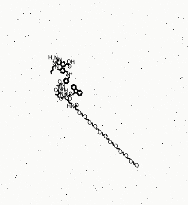 CCCCc1nc2c(N)nc3cc(C(=O)O)ccc3c2n1Cc1ccc(C[N+](C)(C)Cc2ccc(NC(=O)[C@H](C)NC(=O)[C@@H](NC(=O)[C@H](CCCCNC(=O)CCOCCOCCOCCOCCOCCOCCOCCOCCOCCOCCOCCOC)NC(=O)OCC3c4ccccc4-c4ccccc43)C(C)C)cc2)cc1